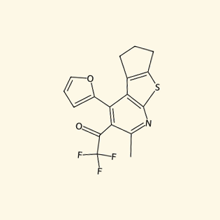 Cc1nc2sc3c(c2c(-c2ccco2)c1C(=O)C(F)(F)F)CCC3